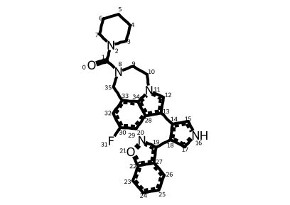 O=C(N1CCCCC1)N1CCn2cc(-c3c[nH]cc3-c3noc4ccccc34)c3cc(F)cc(c32)C1